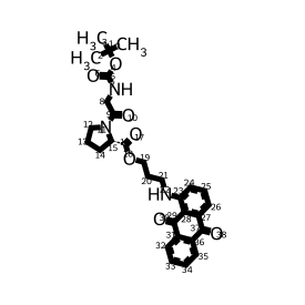 CC(C)(C)OC(=O)NCC(=O)N1CCC[C@H]1C(=O)OCCCNc1cccc2c1C(=O)c1ccccc1C2=O